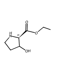 CCOC(=O)[C@@H]1NCCC1O